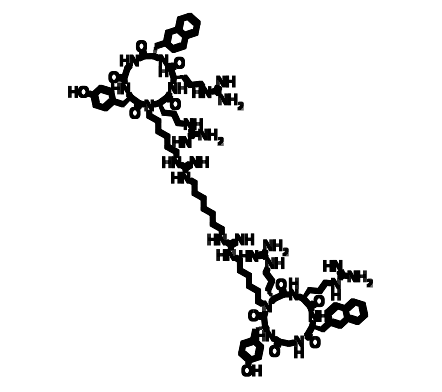 N=C(N)NCCC[C@@H]1NC(=O)[C@@H](CCCNC(=N)N)N(CCCCCCNC(=N)NCCCCCCCNC(=N)NCCCCCCN2C(=O)[C@@H](Cc3ccc(O)cc3)NC(=O)CNC(=O)[C@H](Cc3ccc4ccccc4c3)NC(=O)[C@H](CCCNC(=N)N)NC(=O)[C@H]2CCCNC(=N)N)C(=O)[C@@H](Cc2ccc(O)cc2)NC(=O)CNC(=O)[C@H](Cc2ccc3ccccc3c2)NC1=O